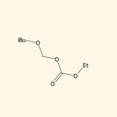 CCOC(=O)OCOC(C)CC